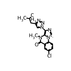 CC(C)Cc1cn(C2=C3N(C)C(=O)c4cc(Cl)ccc4[N+]3C=N2)nn1